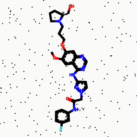 COc1cc2c(Nc3ccn(CC(=O)Nc4cccc(F)c4)n3)ncnc2cc1OCCCN1CCC[C@@H]1CO